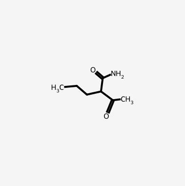 CCCC(C(C)=O)C(N)=O